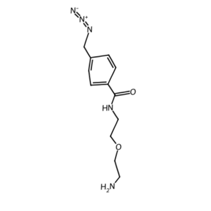 [N-]=[N+]=NCc1ccc(C(=O)NCCOCCN)cc1